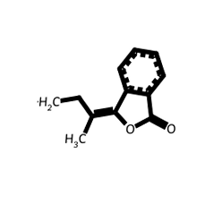 [CH2]CC(C)=C1OC(=O)c2ccccc21